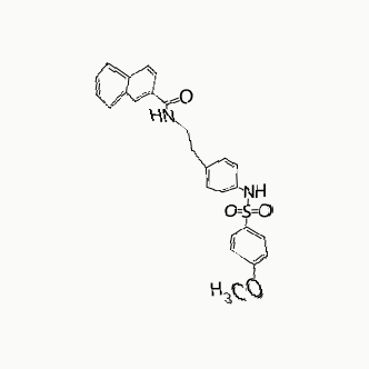 COc1ccc(S(=O)(=O)Nc2ccc(CCNC(=O)c3ccc4ccccc4c3)cc2)cc1